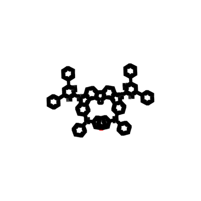 c1ccc(-c2cc(-c3ccccc3)nc(-n3c4ccc(N(c5ccccc5)c5ccccc5)cc4c4c5oc6c(ccc7c6c6cc(N(c8ccccc8)c8ccccc8)ccc6n7-c6nc(-c7ccccc7)cc(-c7ccccc7)n6)c5ccc43)n2)cc1